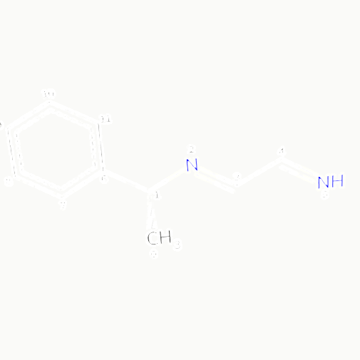 C[C@@H](N=CC=N)c1ccccc1